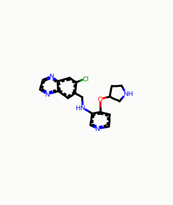 Clc1cc2nccnc2cc1CNc1cnccc1OC1CCNC1